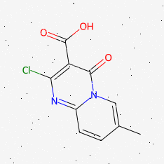 Cc1ccc2nc(Cl)c(C(=O)O)c(=O)n2c1